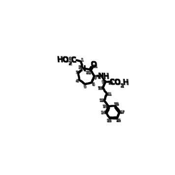 O=C(O)CN1CCCC[C@H](NC(CCCc2ccccc2)C(=O)O)C1=O